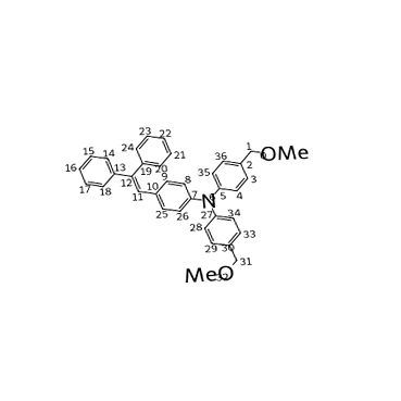 COCc1ccc(N(c2ccc(C=C(c3ccccc3)c3ccccc3)cc2)c2ccc(COC)cc2)cc1